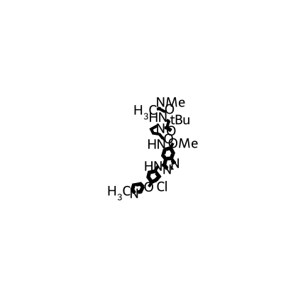 CNC(C)C(=O)NC(C(=O)N1CCCC1C(=O)Nc1cc2c(Nc3ccc(Oc4ccc(C)nc4)c(Cl)c3)ncnc2cc1OC)C(C)(C)C